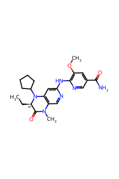 CC[C@@H]1C(=O)N(C)c2cnc(Nc3ncc(C(N)=O)cc3OC)cc2N1C1CCCC1